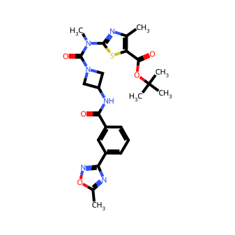 Cc1nc(-c2cccc(C(=O)NC3CN(C(=O)N(C)c4nc(C)c(C(=O)OC(C)(C)C)s4)C3)c2)no1